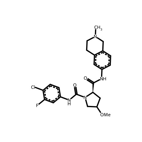 COC1C[C@H](C(=O)Nc2ccc3c(c2)CCN(C)C3)N(C(=O)Nc2ccc(Cl)c(F)c2)C1